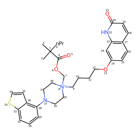 CCCC(C)(C)C(=O)OC[N+]1(CCCCOc2ccc3ccc(=O)[nH]c3c2)CCN(c2cccc3sccc23)CC1